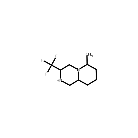 CC1CCCC2CNC(C(F)(F)F)CN12